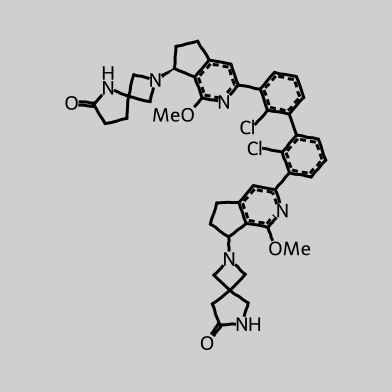 COc1nc(-c2cccc(-c3cccc(-c4cc5c(c(OC)n4)[C@@H](N4CC6(CCC(=O)N6)C4)CC5)c3Cl)c2Cl)cc2c1C(N1CC3(CNC(=O)C3)C1)CC2